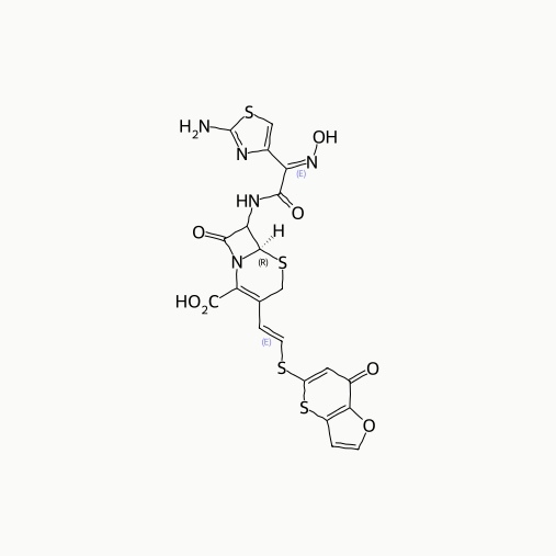 Nc1nc(/C(=N\O)C(=O)NC2C(=O)N3C(C(=O)O)=C(/C=C/Sc4cc(=O)c5occc5s4)CS[C@H]23)cs1